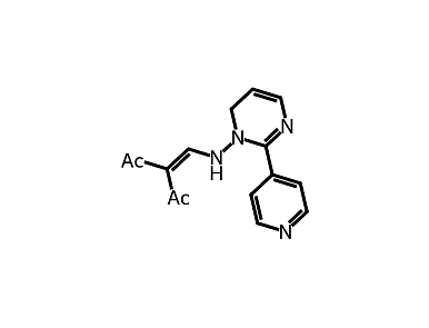 CC(=O)C(=CNN1CC=CN=C1c1ccncc1)C(C)=O